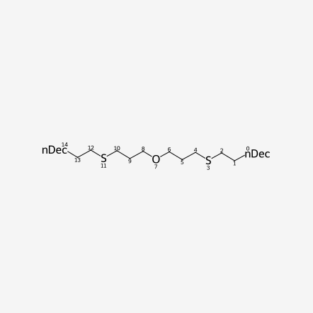 CCCCCCCCCCCCSCCCOCCCSCCCCCCCCCCCC